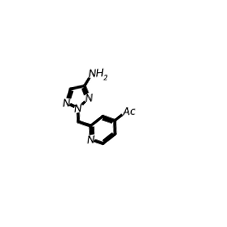 CC(=O)c1ccnc(Cn2ncc(N)n2)c1